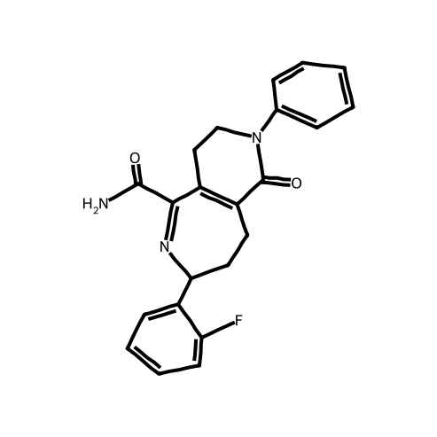 NC(=O)C1=NC(c2ccccc2F)CCC2=C1CCN(c1ccccc1)C2=O